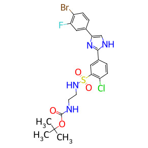 CC(C)(C)OC(=O)NCCNS(=O)(=O)c1cc(-c2nc(-c3ccc(Br)c(F)c3)c[nH]2)ccc1Cl